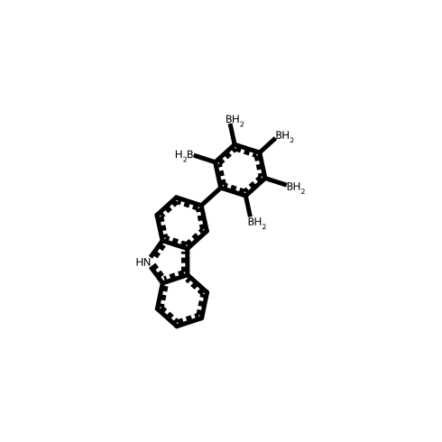 Bc1c(B)c(B)c(-c2ccc3[nH]c4ccccc4c3c2)c(B)c1B